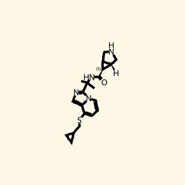 CC(C)(NC(=O)[C@H]1C2CNC[C@@H]21)c1ncc2c(SCC3CC3)cccn12